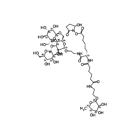 C[C@@H]1O[C@@H](OCCNC(=O)CCCCC(=O)N[C@@H](CCCCCC(=O)ON2C(=O)CCC2O)C(=O)NCCO[C@H]2O[C@H](CO[C@H]3O[C@H](CO)[C@@H](O)[C@H](O)[C@@H]3O)[C@@H](O)[C@H](O[C@H]3O[C@H](CO)[C@@H](O)[C@H](O)[C@@H]3O)[C@@H]2O)[C@@H](O)[C@H](O)[C@@H]1O